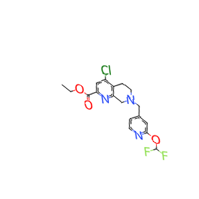 CCOC(=O)c1cc(Cl)c2c(n1)CN(Cc1ccnc(OC(F)F)c1)CC2